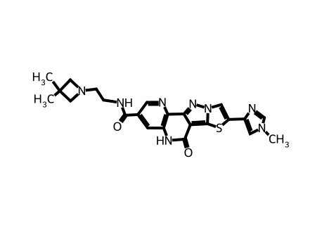 Cn1cnc(-c2cn3nc4c5ncc(C(=O)NCCN6CC(C)(C)C6)cc5[nH]c(=O)c4c3s2)c1